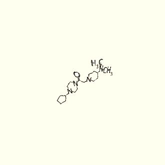 CN(C)C1CCN(CC(=O)N2CCN(C3CCCC3)CC2)CC1